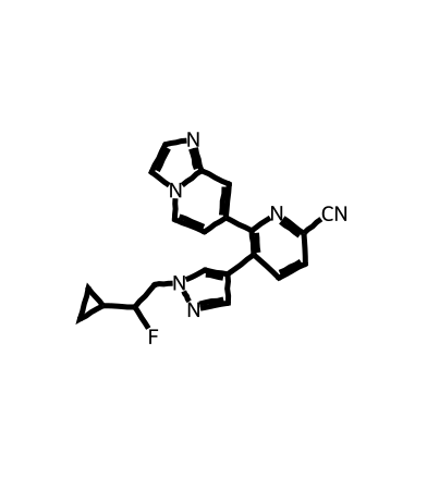 N#Cc1ccc(-c2cnn(CC(F)C3CC3)c2)c(-c2ccn3ccnc3c2)n1